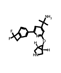 CC(C)(N)c1cc(O[C@H]2[C@@H]3CNC[C@@H]32)nc(-c2ccc3c(c2)CC3(F)F)c1